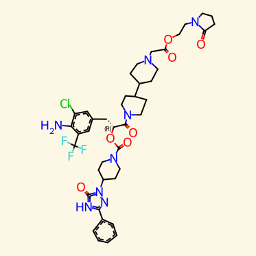 Nc1c(Cl)cc(C[C@@H](OC(=O)N2CCC(n3nc(-c4ccccc4)[nH]c3=O)CC2)C(=O)N2CCC(C3CCN(CC(=O)OCCN4CCCC4=O)CC3)CC2)cc1C(F)(F)F